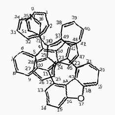 c1ccc(-c2c3ccccc3c(-c3cccc4oc5cccc(-c6c7ccccc7c(-c7cccnc7)c7ccccc67)c5c34)c3ccccc23)cc1